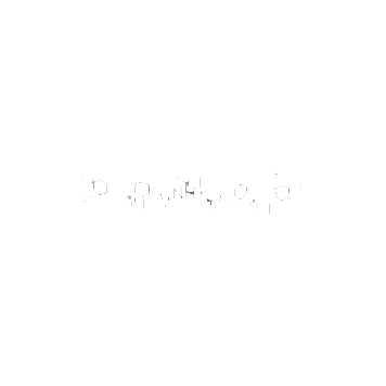 COc1ccc(CC[C@@H](O)c2cccc(OCC(=O)NCC(CNC(=O)COc3cccc([C@H](O)CCc4ccc(OC)c(OC)c4)c3)O[Si](C)(C)C(C)(C)C)c2)cc1OC